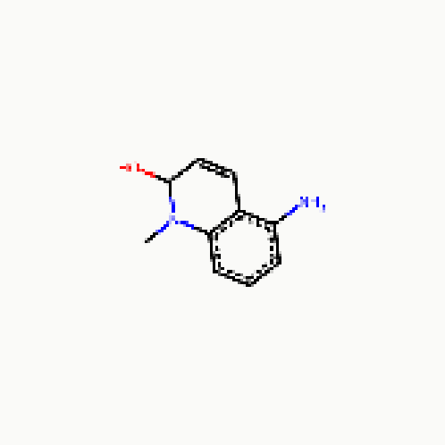 CN1c2cccc(N)c2C=CC1O